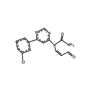 NC(=O)N(/C=C\C=O)c1cc(-c2cccc(Cl)c2)ncn1